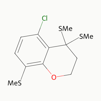 CSc1ccc(Cl)c2c1OCCC2(SC)SC